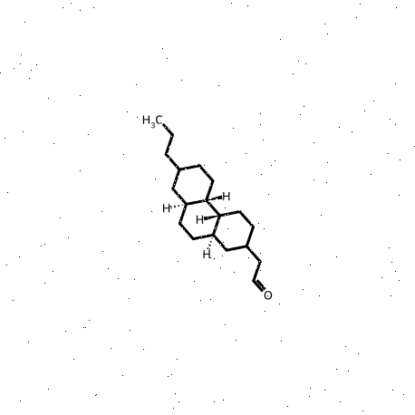 CCCC1CC[C@H]2[C@@H](CC[C@@H]3CC(CC=O)CC[C@H]32)C1